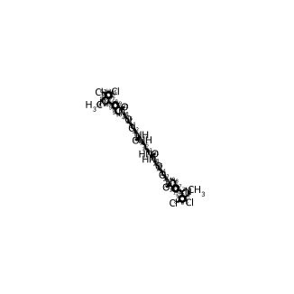 CN1Cc2c(Cl)cc(Cl)cc2C(c2ccc3c(c2)CCN(CCOCCOCCNC(=O)NCCCCNC(=O)NCCOCCOCCN2CCc4cc(C5CN(C)Cc6c(Cl)cc(Cl)cc65)ccc4C2=O)C3=O)C1